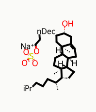 CC(C)CCC[C@@H](C)[C@H]1CC[C@H]2[C@@H]3CC=C4C[C@@H](O)CC[C@]4(C)[C@H]3CC[C@]12C.CCCCCCCCCCCCOS(=O)(=O)[O-].[Na+]